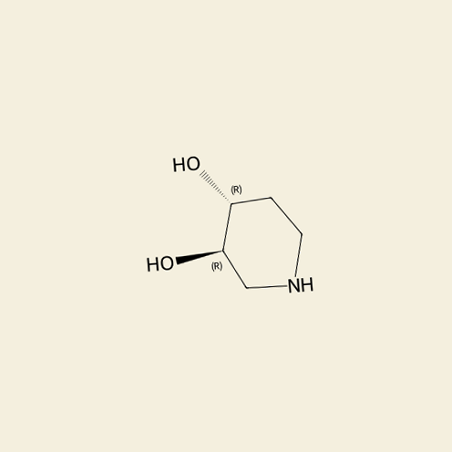 O[C@@H]1CCNC[C@H]1O